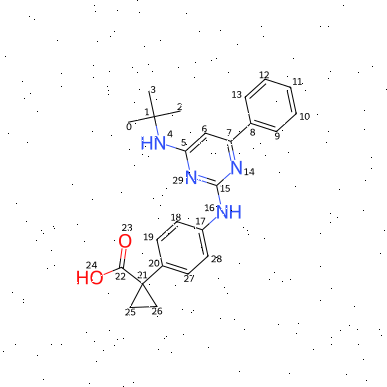 CC(C)(C)Nc1cc(-c2ccccc2)nc(Nc2ccc(C3(C(=O)O)CC3)cc2)n1